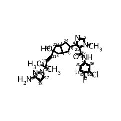 Cn1cnc(C2CC3CC(O)(C#CC(C)(C)n4ccc(N)n4)CC3C2)c1C(=O)Nc1ccc(F)c(Cl)c1